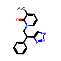 COc1cccn(CC(c2ccccc2)c2c[nH]nn2)c1=O